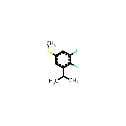 CSc1cc(F)c(F)c(C(C)C)c1